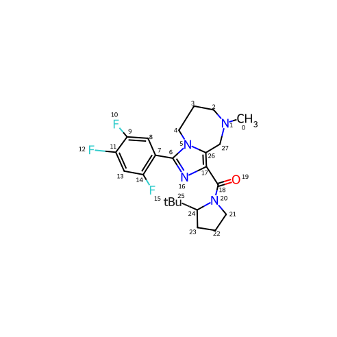 CN1CCCn2c(-c3cc(F)c(F)cc3F)nc(C(=O)N3CCCC3C(C)(C)C)c2C1